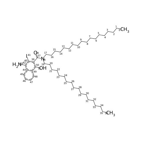 CCCCCCCCCCCCCCCCCCN(CCCCCCCCCCCCCCCCCC)C(=O)c1c(I)c(N)c2ccccc2c1O